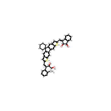 Cc1ccccc1/C(=C/c1cc2cc3c(cc2s1)-c1cc2sc(/C=C4\C(=O)C(=O)c5ccccc54)cc2cc1C31CCCCC1)C(=O)C=O